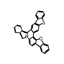 c1ccc2c(c1)cn1c3ccc4c5ccccc5oc4c3c3cc4sc5ccccc5c4cc3c21